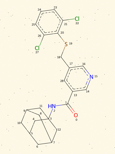 O=C(NC12CC3CC(CC(C3)C1)C2)c1cncc(CSc2c(Cl)cccc2Cl)c1